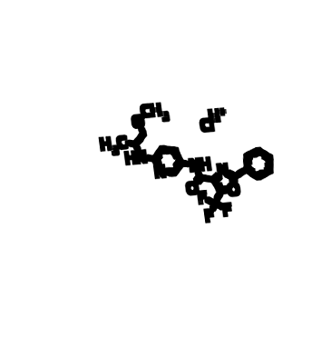 COCC(C)Nc1ccc(NC(=O)c2nc(-c3ccccc3)oc2C(F)(F)F)cn1.[Cl-].[H+]